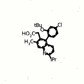 Cc1cc2nc(C(C)C)ccc2c(-c2ccc(Cl)cc2OC(C)(C)C)c1CC(=O)O